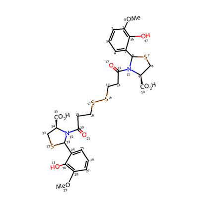 COc1cccc(C2SC[C@@H](C(=O)O)N2C(=O)CCSSCCC(=O)N2C(c3cccc(OC)c3O)SC[C@H]2C(=O)O)c1O